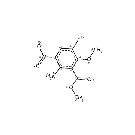 COC(=O)c1c(N)c([N+](=O)[O-])cc(F)c1OC